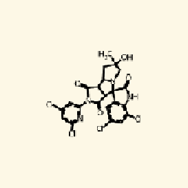 C[C@]1(O)CC2C3C(=O)N(c4cc(Cl)cc(Cl)n4)C(=O)C3C3(C(=O)Nc4c(Cl)cc(Cl)cc43)N2C1